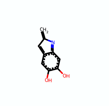 C=C1C=c2cc(O)c(O)cc2=N1